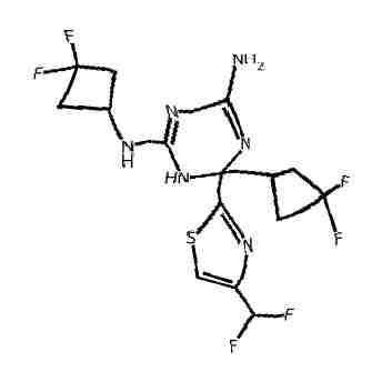 NC1=NC(c2nc(C(F)F)cs2)(C2CC(F)(F)C2)NC(NC2CC(F)(F)C2)=N1